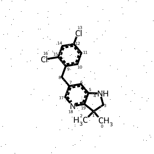 CC1(C)CNc2cc(Cc3ccc(Cl)cc3Cl)cnc21